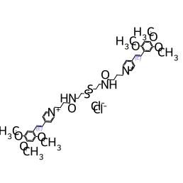 COc1cc(OC)c(OC)cc1/C=C/c1cc[n+](CCCC(=O)NCCSSCCNC(=O)CCC[n+]2ccc(/C=C/c3cc(OC)c(OC)cc3OC)cc2)cc1.[Cl-].[Cl-]